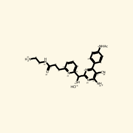 CC(=O)Nc1ccc(-c2nc(C(S)c3cccc(CCC(=O)NCCN)n3)nc(N)c2C#N)cc1.Cl